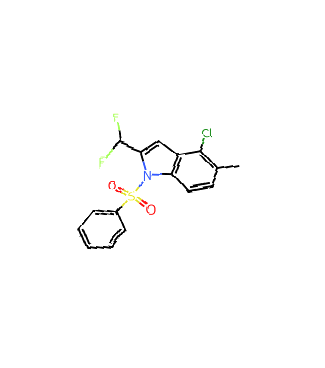 Cc1ccc2c(cc(C(F)F)n2S(=O)(=O)c2ccccc2)c1Cl